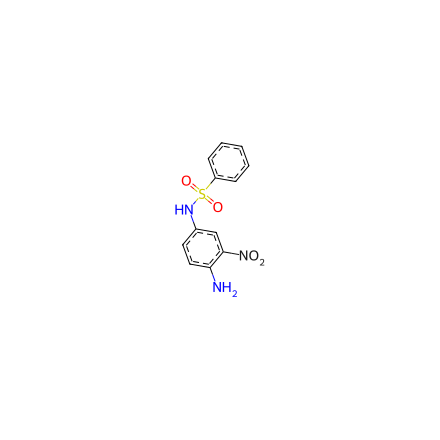 Nc1ccc(NS(=O)(=O)c2ccccc2)cc1[N+](=O)[O-]